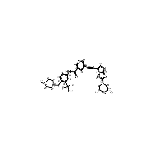 C[C@@H]1CN(c2nn3c(C#Cc4cncc(C(=O)Nc5ccc(CN6CCN(C)CC6)c(C(F)(F)F)c5)c4)cnc3s2)C[C@H](C)O1